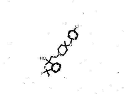 CC1(Oc2ccc(Cl)cc2)CCN(CCC(C)(O)c2ccccc2C(F)(F)F)CC1